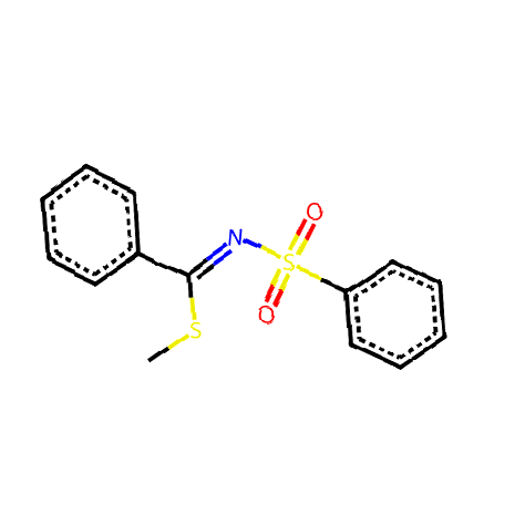 CSC(=NS(=O)(=O)c1ccccc1)c1ccccc1